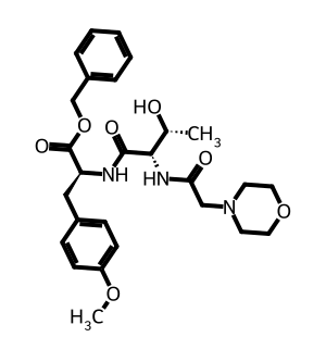 COc1ccc(C[C@H](NC(=O)[C@@H](NC(=O)CN2CCOCC2)[C@@H](C)O)C(=O)OCc2ccccc2)cc1